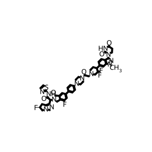 Cn1nc(N2CCC(=O)NC2=O)c2ccc(C3CCN(CC(=O)N4CCN(c5ccc(-c6cc(F)c7c(c6)C(=O)N(C(C(=O)Nc6nccs6)c6ncn8c6C[C@@H](F)C8)C7)cc5)CC4)CC3(F)F)cc21